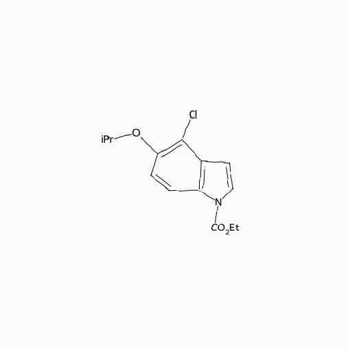 CCOC(=O)n1ccc2c(Cl)c(OC(C)C)ccc21